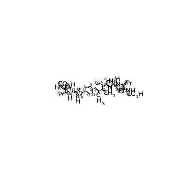 Cc1c(-c2ccc(-c3c[nH]c(C(NC(C(=O)NC(=O)O)C(C)C)C(C)C)n3)cc2)ccc(-c2c[nH]c([C@@H](N[C@H](C(=O)NC(=O)O)C(C)C)C(C)C)n2)c1C